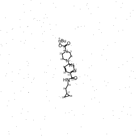 CCCCOC(=O)N1CCN(c2ccc(C(=O)NCCC3CC3)nn2)CC1